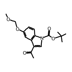 COCOc1ccc2c(c1)c(C(C)=O)cn2C(=O)OC(C)(C)C